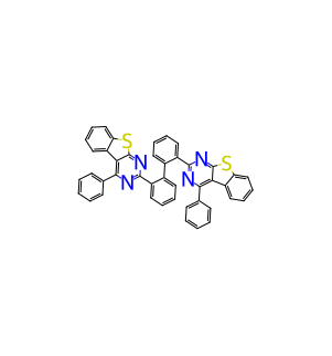 c1ccc(-c2nc(-c3ccccc3-c3ccccc3-c3nc(-c4ccccc4)c4c(n3)sc3ccccc34)nc3sc4ccccc4c23)cc1